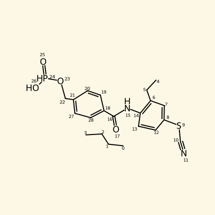 CCCC.CCc1cc(SC#N)ccc1NC(=O)c1ccc(CO[PH](=O)O)cc1